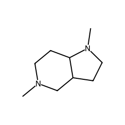 CN1CCC2C(CCN2C)C1